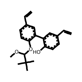 C=Cc1ccc(O)c(-c2cc(C=C)ccc2OC(OC)C(C)(C)C)c1